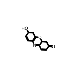 O=C1C=CC2=NC3=C(CC(O)C=C3)OC2C1